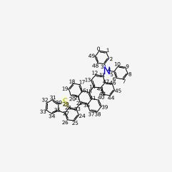 c1ccc(N(c2ccccc2)c2ccc(-c3c4ccccc4c(-c4cccc5c4sc4ccccc45)c4ccccc34)c3ccccc23)cc1